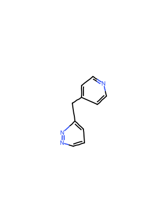 c1cnnc(Cc2ccncc2)c1